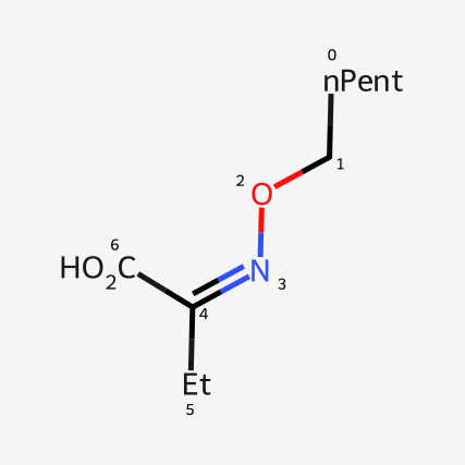 CCCCCCON=C(CC)C(=O)O